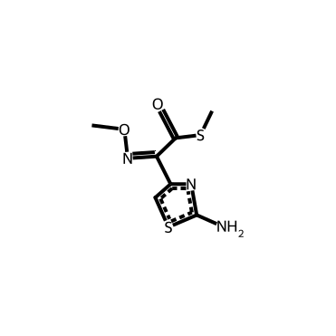 CON=C(C(=O)SC)c1csc(N)n1